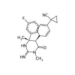 CN1C(=N)N[C@](C)(c2cccc(F)c2)[C@@H](C2C=CC(C3(C#N)CC3)=CC2)C1=O